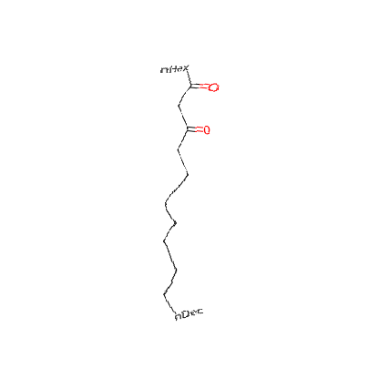 CCCCCCCCCCCCCCCCCC(=O)CC(=O)CCCCCC